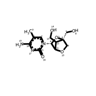 Cc1cn([C@@H]2O[C@@]3(CO)COC2C3CO)c(=O)nc1N